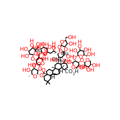 CC[C@H](C)[C@H](C[C@H](O)CC(=O)O[C@H]1[C@@H](O)[C@@H](C)O[C@@H](OC(=O)[C@]23CCC(C)(C)C[C@H]2C2=CC[C@@H]4[C@@]5(C)CC[C@H](O[C@@H]6O[C@H](C(=O)O)[C@@H](O)[C@H](O[C@@H]7OC[C@@H](O)[C@H](O)[C@H]7O)[C@H]6O[C@@H]6O[C@H](CO)[C@H](O)C(O)[C@H]6O)[C@@](C)(C=O)[C@@H]5CC[C@@]4(C)[C@]2(C)CC3)[C@@H]1O[C@@H]1O[C@@H](C)[C@H](O[C@@H]2OC[C@@H](O)[C@H](O)[C@H]2O)[C@@H](O[C@@H]2O[C@H](CO)[C@@H](O)[C@H](O)[C@H]2O)[C@H]1O)OC(=O)CC(O)C[C@H](O[C@@H]1O[C@@H](CO)[C@H](O)[C@H]1O[C@@H]1O[C@@H](C)[C@H](O)[C@@H](O)[C@H]1O)[C@@H](C)CC